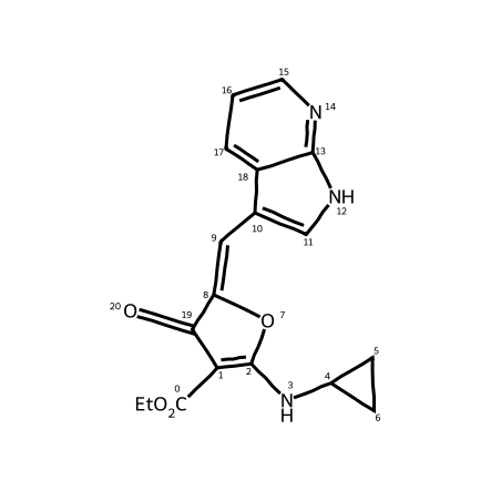 CCOC(=O)C1=C(NC2CC2)O/C(=C\c2c[nH]c3ncccc23)C1=O